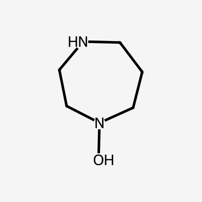 ON1CCCNCC1